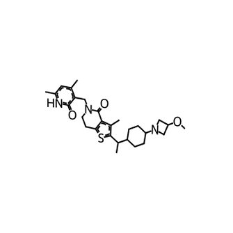 COC1CN(C2CCC(C(C)c3sc4c(c3C)C(=O)N(Cc3c(C)cc(C)[nH]c3=O)CC4)CC2)C1